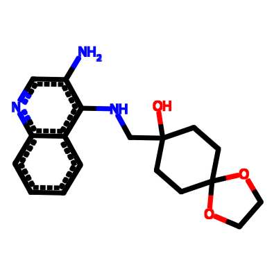 Nc1cnc2ccccc2c1NCC1(O)CCC2(CC1)OCCO2